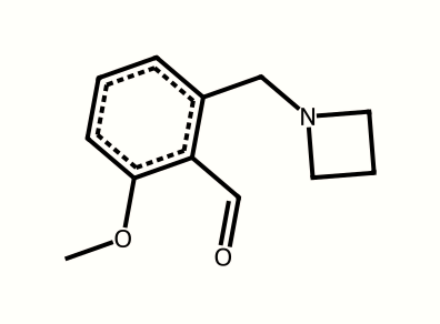 COc1cccc(CN2CCC2)c1C=O